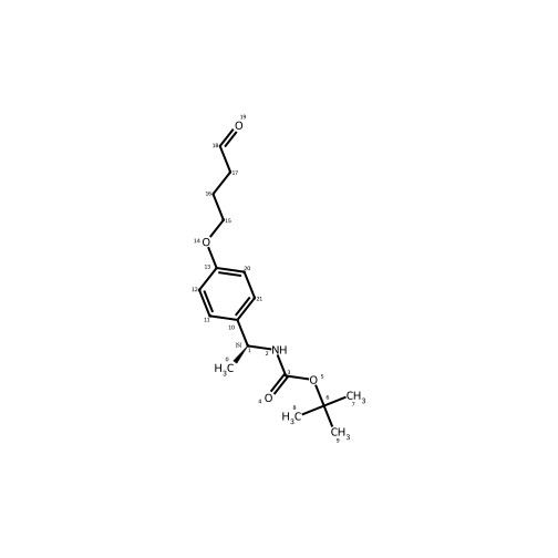 C[C@H](NC(=O)OC(C)(C)C)c1ccc(OCCCC=O)cc1